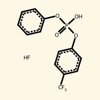 F.O=P(O)(Oc1ccccc1)Oc1ccc(C(F)(F)F)cc1